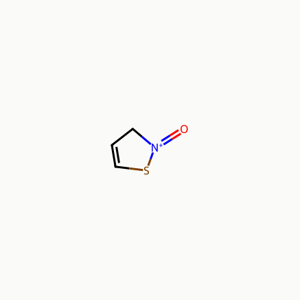 O=[N+]1CC=CS1